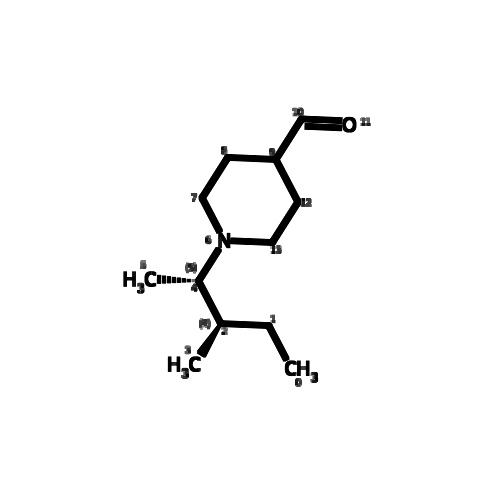 CC[C@@H](C)[C@H](C)N1CCC(C=O)CC1